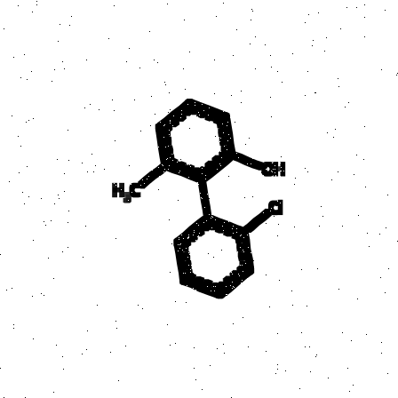 Cc1cccc(O)c1-c1ccccc1Cl